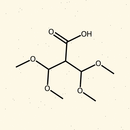 COC(OC)C(C(=O)O)C(OC)OC